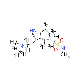 [2H]c1c(C([2H])([2H])S(=O)(=O)NC)c([2H])c2c(CC([2H])([2H])N(C)C([2H])([2H])[2H])c[nH]c2c1[2H]